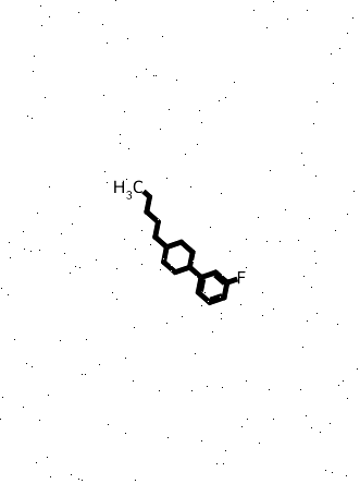 CCCCCC1CCC(c2cccc(F)c2)CC1